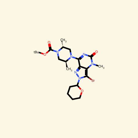 C[C@@H]1CN(c2nc(=O)n(C)c3c(Br)n(C4CCCCO4)nc23)[C@@H](C)CN1C(=O)OC(C)(C)C